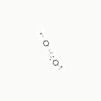 COC(=O)COc1ccc(SCC(F)NS(=O)(=O)c2ccc([N+](=O)[O-])cc2)cc1